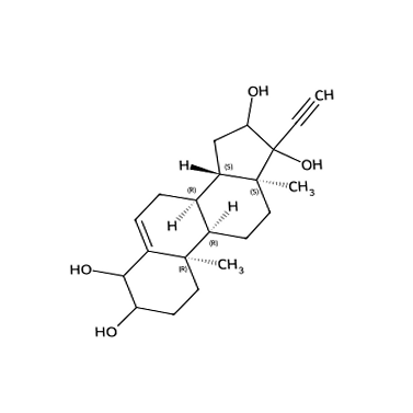 C#CC1(O)C(O)C[C@H]2[C@@H]3CC=C4C(O)C(O)CC[C@]4(C)[C@@H]3CC[C@@]21C